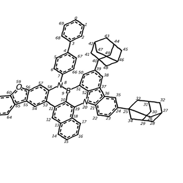 c1ccc(-c2ccc(N3B4c5c(cc6ccccc6c5-n5c6ccc(C78CC9CC(CC(C9)C7)C8)cc6c6cc(C78CC9CC(CC(C9)C7)C8)cc4c65)-c4cc5c(cc43)oc3ccccc35)cc2)cc1